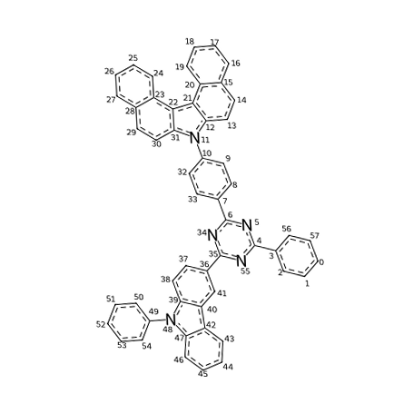 c1ccc(-c2nc(-c3ccc(-n4c5ccc6ccccc6c5c5c6ccccc6ccc54)cc3)nc(-c3ccc4c(c3)c3ccccc3n4-c3ccccc3)n2)cc1